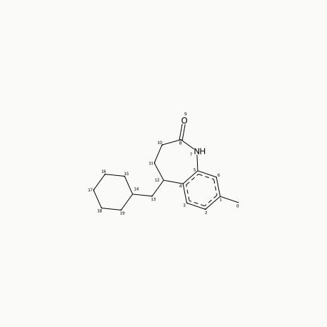 Cc1ccc2c(c1)NC(=O)CCC2CC1CCCCC1